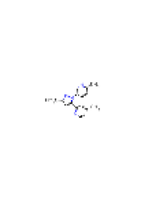 Cc1ccnc(-c2cc(C(=O)O)nn2-c2ccc(C)nc2)c1